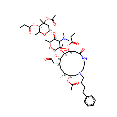 CCC(=O)O[C@@H]1CC(=O)NCCN(CCCCc2ccccc2)C[C@H](OC(C)=O)[C@H](C)C[C@H](CC=O)[C@H](O[C@@H]2OC(C)[C@@H](O[C@H]3CC(C)(OC(C)=O)[C@@H](OC(=O)CC)C(C)O3)C(N(C)C)C2O)[C@H]1OC